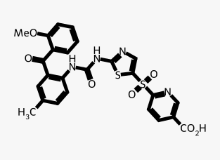 COc1ccccc1C(=O)c1cc(C)ccc1NC(=O)Nc1ncc(S(=O)(=O)c2ccc(C(=O)O)cn2)s1